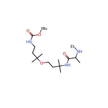 CCNC(C)C(=O)NC(C)(C)CCOC(C)(C)CCNC(=O)OC(C)(C)C